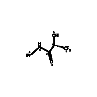 CC(C)NC(=O)[C@H](O)C(F)(F)F